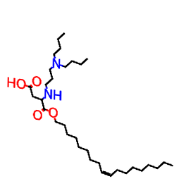 CCCCCCCC/C=C\CCCCCCCCOC(=O)C(CC(=O)O)NCCCN(CCCC)CCCC